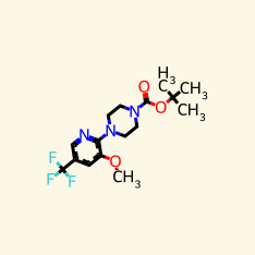 COc1cc(C(F)(F)F)cnc1N1CCN(C(=O)OC(C)(C)C)CC1